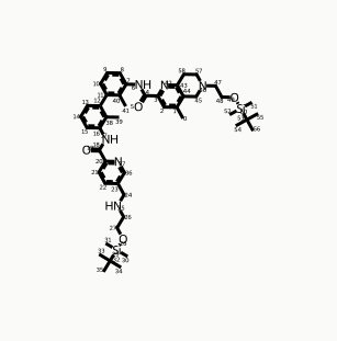 Cc1cc(C(=O)Nc2cccc(-c3cccc(NC(=O)c4ccc(CNCCO[Si](C)(C)C(C)(C)C)cn4)c3C)c2C)nc2c1CN(CCO[Si](C)(C)C(C)(C)C)CC2